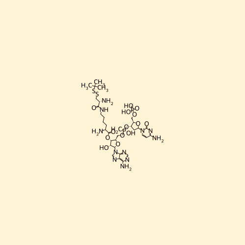 C=P(O)(OC[C@H]1O[C@@H](n2cnc3c(N)ncnc32)[C@H](O)[C@@H]1OC(=O)[C@@H](N)CCCCNC(=O)[C@@H](N)CSSC(C)(C)C)O[C@H]1C[C@H](n2ccc(N)nc2=O)O[C@@H]1COP(=O)(O)O